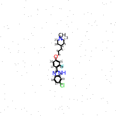 CN1CCC(CCCOc2ccc(-c3nc4ccc(Cl)cc4[nH]3)c(F)c2)CC1